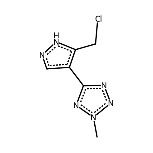 Cn1nnc(-c2cn[nH]c2CCl)n1